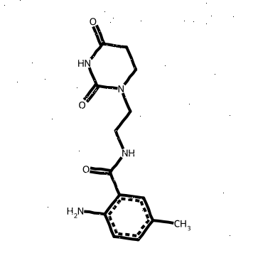 Cc1ccc(N)c(C(=O)NCCN2CCC(=O)NC2=O)c1